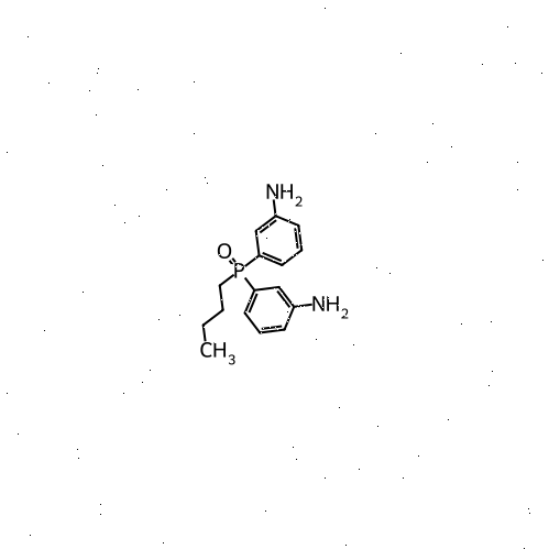 CCCCP(=O)(c1cccc(N)c1)c1cccc(N)c1